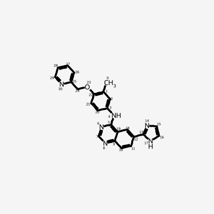 Cc1cc(Nc2ncnc3ccc(-c4ncc[nH]4)cc23)ccc1OCc1ccccn1